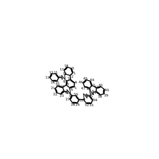 C1=CC2c3ccc4c(c3N(c3ccccc3)C2C=C1)c1ccccc1n4-c1cccc(-c2cccc(-n3c4ccccc4c4ccccc43)n2)c1